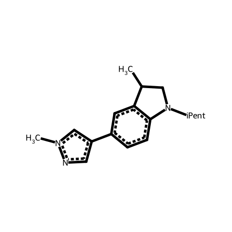 CCCC(C)N1CC(C)c2cc(-c3cnn(C)c3)ccc21